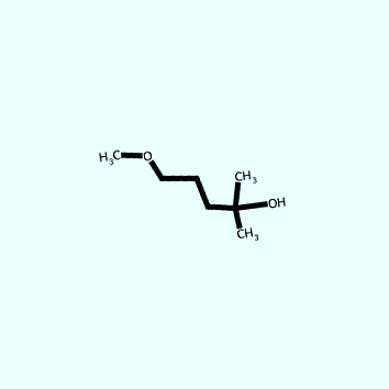 COCCCC(C)(C)O